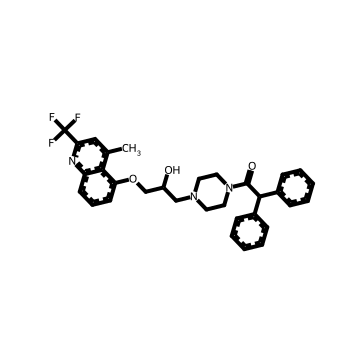 Cc1cc(C(F)(F)F)nc2cccc(OCC(O)CN3CCN(C(=O)C(c4ccccc4)c4ccccc4)CC3)c12